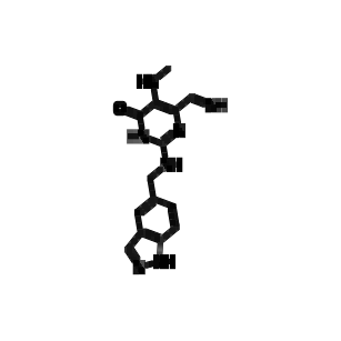 CNc1c(C=N)nc(NCc2ccc3[nH]ncc3c2)[nH]c1=O